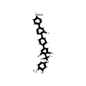 CCCCCc1ccc(-c2ccc(-c3ccc(-c4cc(F)c(C(F)(F)Oc5ccc(C(F)(F)F)c(F)c5)c(F)c4)cc3)c(F)c2)cc1